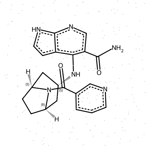 NC(=O)c1cnc2[nH]ccc2c1N[C@@H]1C[C@H]2CC[C@@H](C1)N2C(=O)c1cccnc1